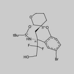 CC(C)(C)[S+]([O-])N[C@]1(C(F)(F)CO)C[C@@]2(CCCOC2)Oc2ccc(Br)cc21